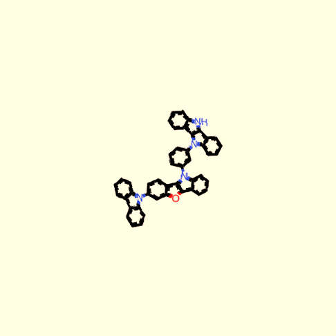 c1cc(-n2c3ccccc3c3[nH]c4ccccc4c32)cc(-n2c3ccccc3c3oc4cc(-n5c6ccccc6c6ccccc65)ccc4c32)c1